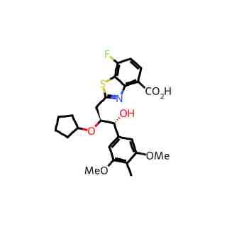 COc1cc([C@@H](O)[C@H](Cc2nc3c(C(=O)O)ccc(F)c3s2)OC2CCCC2)cc(OC)c1C